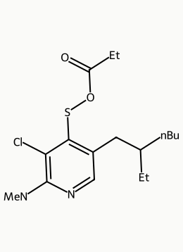 CCCCC(CC)Cc1cnc(NC)c(Cl)c1SOC(=O)CC